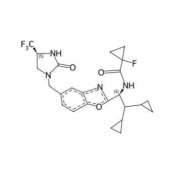 O=C1N[C@H](C(F)(F)F)CN1Cc1ccc2oc([C@@H](NC(=O)C3(F)CC3)C(C3CC3)C3CC3)nc2c1